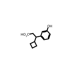 O=C(O)CC(c1cccc(O)c1)C1CCC1